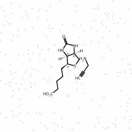 C#CCN.O=C(O)CCCC[C@@H]1SC[C@@H]2NC(=O)N[C@@H]21